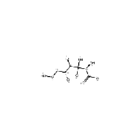 CCC(=O)[C@H](O)C(O)(O)[C@H](O)[C@H](O)COO